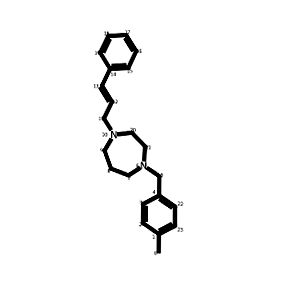 Cc1ccc(CN2CCCN(C/C=C/c3ccccc3)CC2)cc1